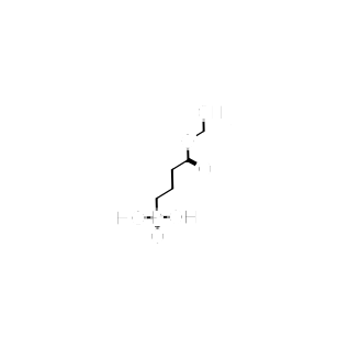 CCOC(=O)CCCP(=O)(O)O